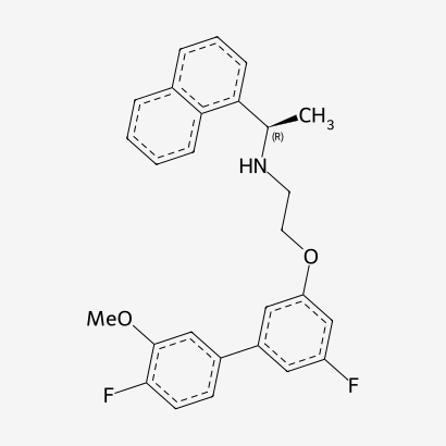 COc1cc(-c2cc(F)cc(OCCN[C@H](C)c3cccc4ccccc34)c2)ccc1F